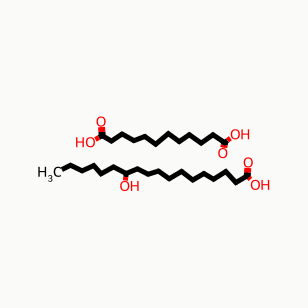 CCCCCCC(O)CCCCCCCCCCC(=O)O.O=C(O)CCCCCCCCCCC(=O)O